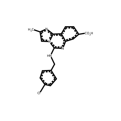 Cc1cn2c(NCc3ccc(Cl)cc3)nc3cc(C(=O)O)ccc3c2n1